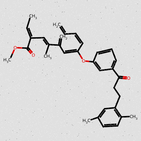 C=C/C=C\C(=C/C(=C)/C(C)=C/C(=C\C)C(=O)OC)Oc1cccc(C(=O)CCc2cc(C)ccc2C)c1